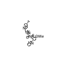 COc1ccc(-c2cn3ccccc3n2)c(CNC(=O)c2cn(Cc3cn4cc(C5CC5)ccc4n3)nn2)c1F